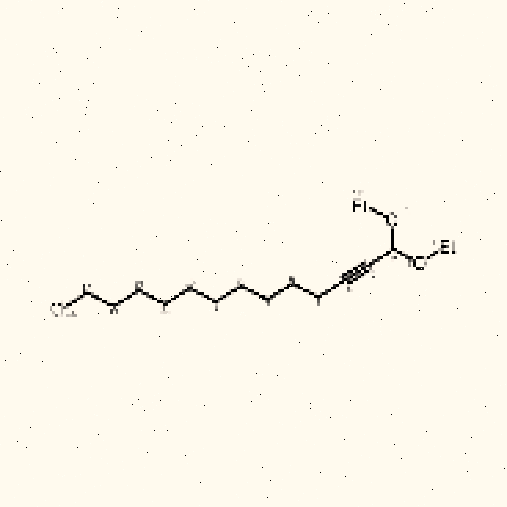 CCOC(C#CCCCCCCCCCCCl)OCC